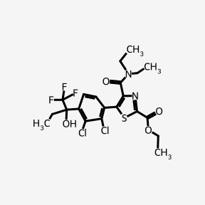 CCOC(=O)c1nc(C(=O)N(CC)CC)c(-c2ccc(C(O)(CC)C(F)(F)F)c(Cl)c2Cl)s1